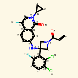 C=CC(=O)N1CC(Nc2ccc3c(F)cn(C4CC4)c(=O)c3c2)(c2c(F)ccc(Cl)c2Cl)C1